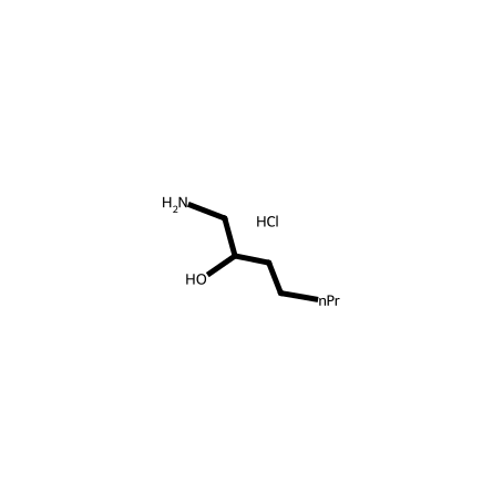 CCCCCC(O)CN.Cl